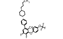 CCCC[C@H]1CC[C@H](c2ccc(-c3cc(F)c(F)c(Oc4ccc(OC(F)(F)F)cc4)c3C)cc2)CC1